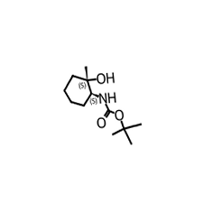 CC(C)(C)OC(=O)N[C@H]1CCCC[C@]1(C)O